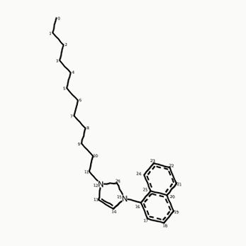 CCCCCCCCCCCCN1C=CN(c2cccc3ccccc23)C1